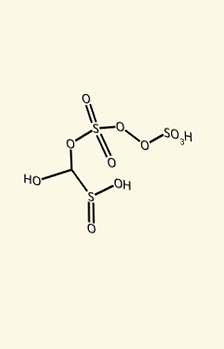 O=S(O)C(O)OS(=O)(=O)OOS(=O)(=O)O